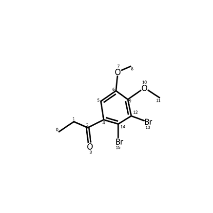 CCC(=O)c1cc(OC)c(OC)c(Br)c1Br